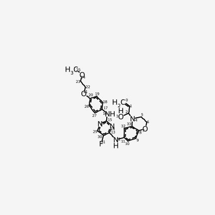 C=CC(O)N1CCOc2ccc(Nc3nc(Nc4ccc(OCCOC)cc4)ncc3F)cc21